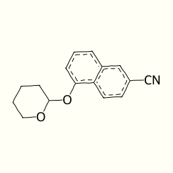 N#Cc1ccc2c(OC3CCCCO3)cccc2c1